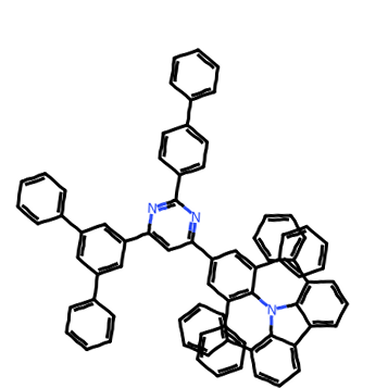 c1ccc(-c2ccc(-c3nc(-c4cc(-c5ccccc5)cc(-c5ccccc5)c4)cc(-c4cc(-c5ccccc5)c(-n5c6c(-c7ccccc7)cccc6c6cccc(-c7ccccc7)c65)c(-c5ccccc5)c4)n3)cc2)cc1